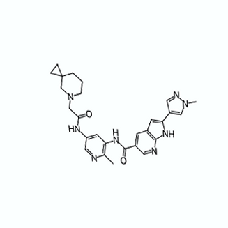 Cc1ncc(NC(=O)CN2CCCC3(CC3)C2)cc1NC(=O)c1cnc2[nH]c(-c3cnn(C)c3)cc2c1